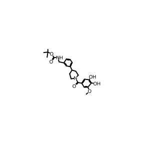 COc1cc(C(=O)N2CCC(c3cccc(CNC(=O)OC(C)(C)C)c3)CC2)cc(O)c1O